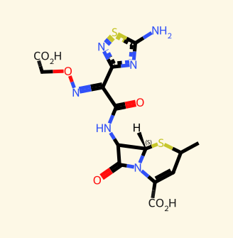 CC1C=C(C(=O)O)N2C(=O)C(NC(=O)C(=NOCC(=O)O)c3nsc(N)n3)[C@@H]2S1